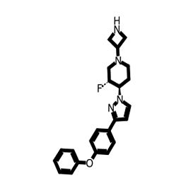 F[C@@H]1CN(C2CNC2)CC[C@H]1n1ccc(-c2ccc(Oc3ccccc3)cc2)n1